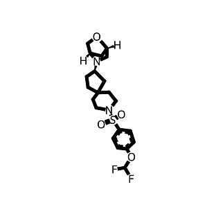 O=S(=O)(c1ccc(OC(F)F)cc1)N1CCC2(CC[C@@H](N3C[C@@H]4C[C@H]3CO4)C2)CC1